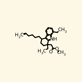 C=CCCCCC1CCC(CC)(CC(=O)OC)c2[nH]c3c(CC)cccc3c21